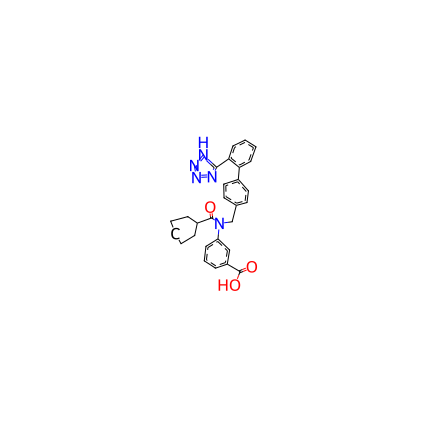 O=C(O)c1cccc(N(Cc2ccc(-c3ccccc3-c3nnn[nH]3)cc2)C(=O)C2CCCCC2)c1